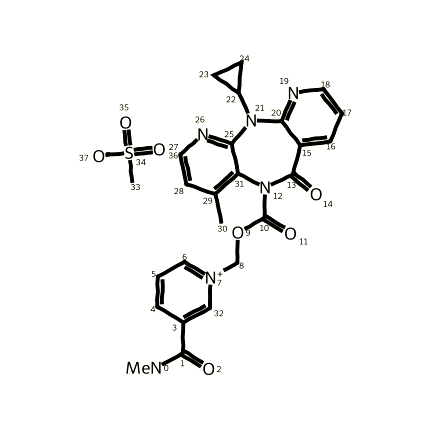 CNC(=O)c1ccc[n+](COC(=O)N2C(=O)c3cccnc3N(C3CC3)c3nccc(C)c32)c1.CS(=O)(=O)[O-]